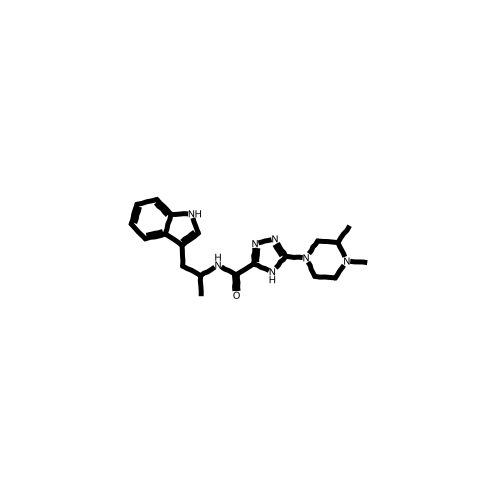 CC(Cc1c[nH]c2ccccc12)NC(=O)c1nnc(N2CCN(C)C(C)C2)[nH]1